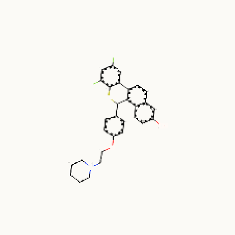 Oc1ccc2c3c(ccc2c1)-c1cc(F)cc(F)c1SC3c1ccc(OCCN2CCCCC2)cc1